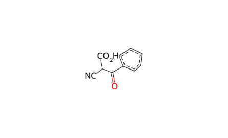 N#CC(C(=O)O)C(=O)c1ccccc1